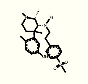 CCN(CCc1ccc(S(C)(=O)=O)cc1)[C@H]1[C@@H](C)N(C)CCC1(C)c1cc(O)ccc1C